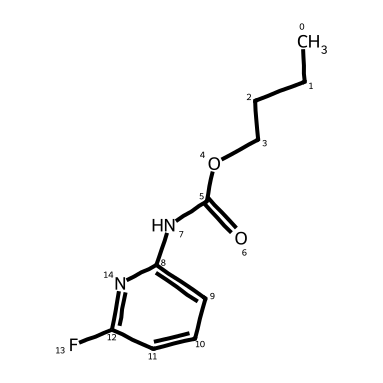 CCCCOC(=O)Nc1cccc(F)n1